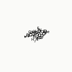 COc1cc([C@](O)(CNC(=O)c2cc(OC)c3nn(C4CC4)cc3c2)c2cc3c(c(-c4cc(Cl)c(F)cc4F)n2)OC[C@]3(C)C(N)=O)cc(F)n1